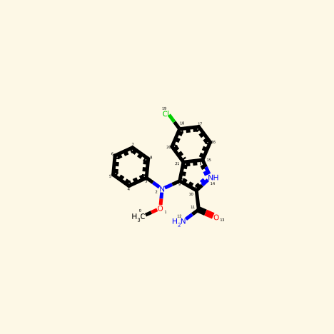 CON(c1ccccc1)c1c(C(N)=O)[nH]c2ccc(Cl)cc12